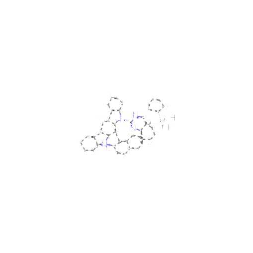 CC1(C)c2ccccc2-c2nc(-n3c4ccccc4c4cc5c6ccccc6n6c7ccc8ccccc8c7c(c43)c56)nc3cccc1c23